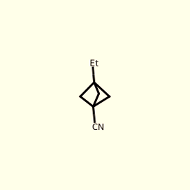 CCC12CC(C#N)(C1)C2